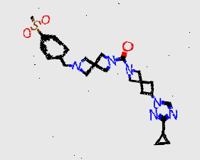 CS(=O)(=O)c1ccc(CN2CC3(C2)CN(C(=O)N2CC4(CC(n5cnc(C6CC6)n5)C4)C2)C3)cc1